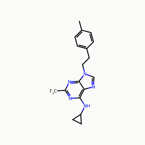 Cc1ccc(CCn2cnc3c(NC4CC4)nc(C(F)(F)F)nc32)cc1